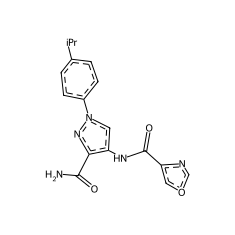 CC(C)c1ccc(-n2cc(NC(=O)c3cocn3)c(C(N)=O)n2)cc1